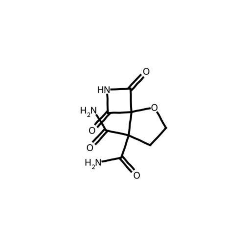 NC(=O)C1(C(N)=O)CCOC12C(=O)NC2=O